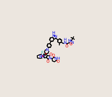 Cc1cc(-c2n[nH]c3ccc(-c4ccc(N5CCC(CN6CC7CCC(C6)N7c6cc7c(cc6F)C(=O)N(C6CCC(=O)NC6=O)C7=O)CC5)cc4)cc23)ccc1CNC(=O)c1nc(C(C)(C)C)no1